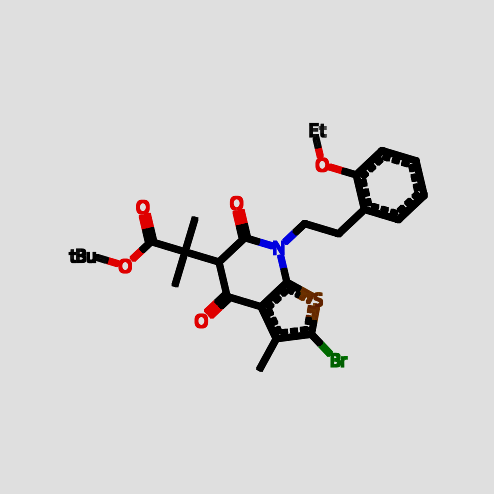 CCOc1ccccc1CCN1C(=O)C(C(C)(C)C(=O)OC(C)(C)C)C(=O)c2c1sc(Br)c2C